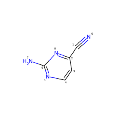 N#Cc1ccnc(N)n1